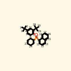 CC(C)(C)c1ccc(OP(c2cccc3ccccc23)C2CCCCC2)c(C(C)(C)C)c1